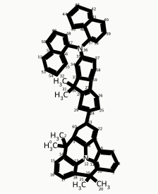 CC1(C)C2=c3c(c4cccc5c4n3-c3c1cccc3C5(C)C)=CC(c1ccc3c(c1)C(C)(C)c1cc(N(c4cccc5ccccc45)c4cccc5ccccc45)ccc1-3)C2